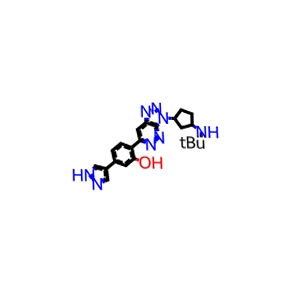 CC(C)(C)NC1CCC(n2nnc3cc(-c4ccc(-c5cn[nH]c5)cc4O)nnc32)C1